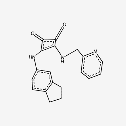 O=c1c(NCc2ccccn2)c(Nc2ccc3c(c2)CCC3)c1=O